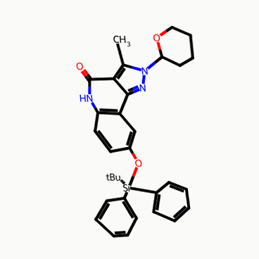 Cc1c2c(=O)[nH]c3ccc(O[Si](c4ccccc4)(c4ccccc4)C(C)(C)C)cc3c2nn1C1CCCCO1